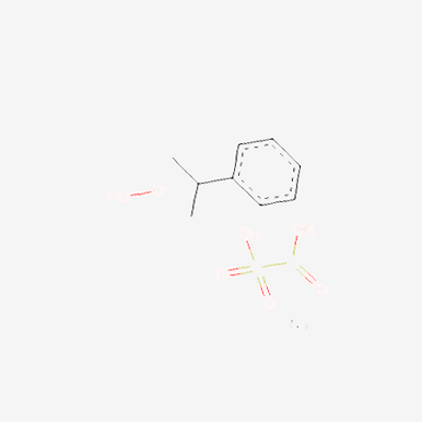 CC(C)c1ccccc1.O=S(O)S(=O)(=O)O.[Na+].[O-]O